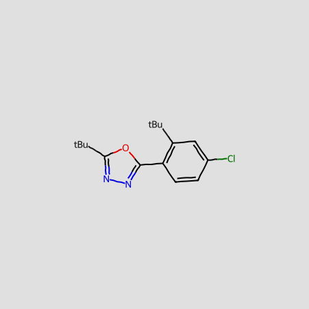 CC(C)(C)c1nnc(-c2ccc(Cl)cc2C(C)(C)C)o1